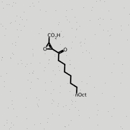 CCCCCCCCCCCCCCC(=O)C1=C(C(=O)O)O1